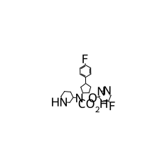 O=C(O)N(C1CCCNC1)C1CC(c2ccc(F)cc2)CC1Oc1cc(F)cnn1